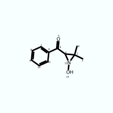 CC1(C)C(C(=O)c2ccccc2)N1O